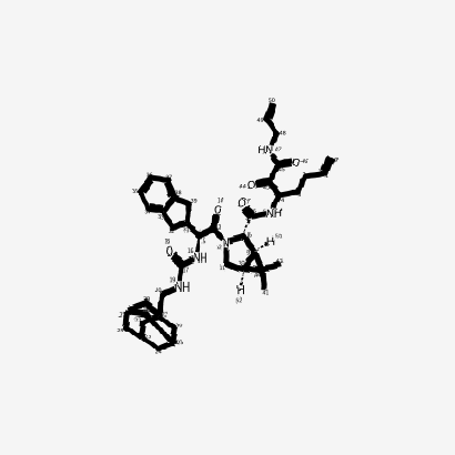 C=CCCC(NC(=O)[C@@H]1[C@@H]2[C@H](CN1C(=O)[C@@H](NC(=O)NCC13CC4CC(CC(C4)C1)C3)C1Cc3ccccc3C1)C2(C)C)C(=O)C(=O)NCC=C